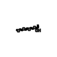 CCC(O)OCCOCCOCCOC